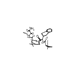 CCCC(NC(=O)[C@@H]1C2C(CN1C(=O)[C@@H](NC(=O)CC(C)(C)C)C1Cc3ccccc3C1)C2(C)C)C(=O)C(N)=O